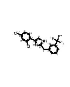 FC(F)(F)c1cccc(Cc2nc(-c3ccc(Cl)cc3Cl)c[nH]2)c1